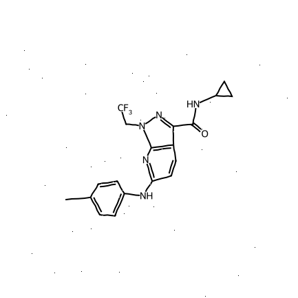 Cc1ccc(Nc2ccc3c(C(=O)NC4CC4)nn(CC(F)(F)F)c3n2)cc1